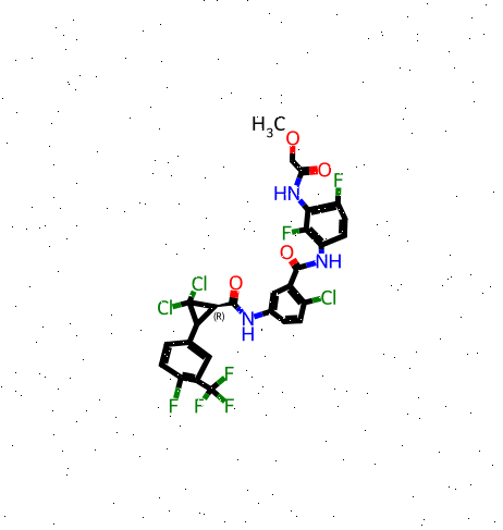 COCC(=O)Nc1c(F)ccc(NC(=O)c2cc(NC(=O)[C@H]3C(c4ccc(F)c(C(F)(F)F)c4)C3(Cl)Cl)ccc2Cl)c1F